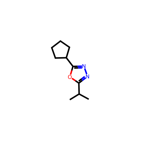 CC(C)c1nnc(C2CCCC2)o1